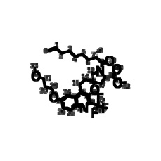 C=CCCCCC[C@H](C)C(=O)N1C[C@@]2(CCc3c(c(C(F)(F)F)nc4ccc(OCCCOC)cc34)O2)C[C@H]1C(=O)OC